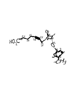 Cc1ccc(OC[C@H]2CC(=O)N2CC#CCCCC(=O)O)s1